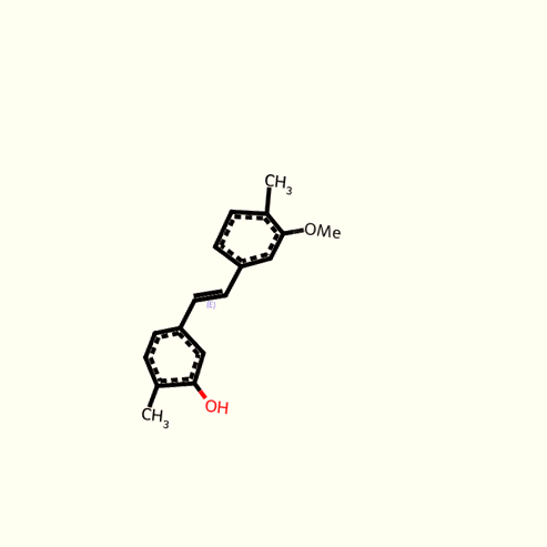 COc1cc(/C=C/c2ccc(C)c(O)c2)ccc1C